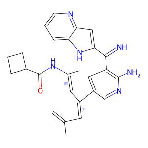 C=C(C)/C=C(\C=C(/C)NC(=O)C1CCC1)c1cnc(N)c(C(=N)c2cc3ncccc3[nH]2)c1